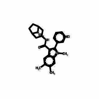 Cc1cc2c(C(=O)NC3CC4CCC(C3)N4C)c(-c3ccccc3)n(C)c2cc1C.Cl